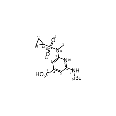 CCC(C)Nc1cc(C(=O)O)cc(N(C)S(=O)(=O)C2CC2)n1